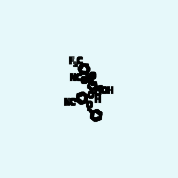 N#Cc1ccc(O[C@H]2CN(S(=O)(=O)c3ccc(C(F)(F)F)cc3C#N)C[C@@]2(O)CO)c(OCc2ccccc2)c1